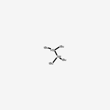 CC(C)(C)[SiH]([SiH](C(C)(C)C)C(C)(C)C)C(C)(C)C